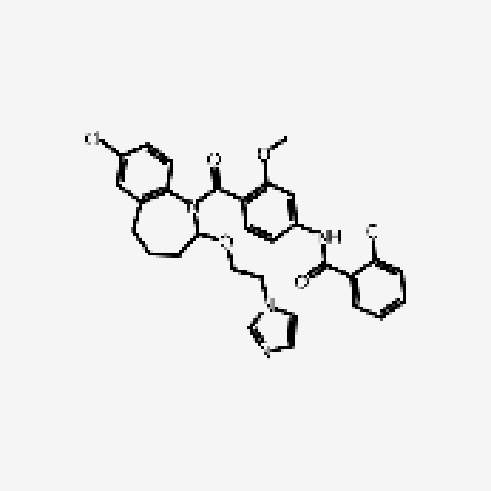 COc1cc(NC(=O)c2ccccc2Cl)ccc1C(=O)N1c2ccc(Cl)cc2CCCC1OCCn1ccnc1